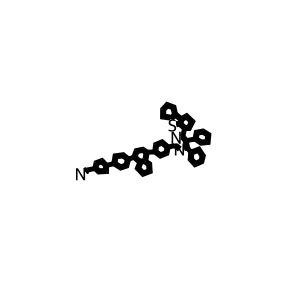 N#Cc1ccc(-c2ccc(-c3ccc(-c4ccc(-c5nc(-c6ccccc6)c(-c6ccccc6)c(-c6cccc7c6sc6ccccc67)n5)cc4)c4ccccc34)cc2)cc1